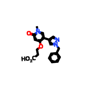 Cn1cc(-c2cnn(Cc3ccccc3)c2)c(OCCC(=O)O)cc1=O